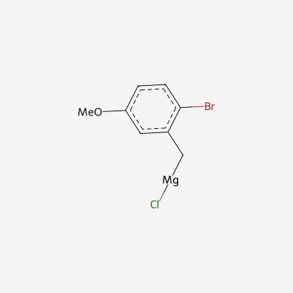 COc1ccc(Br)c([CH2][Mg][Cl])c1